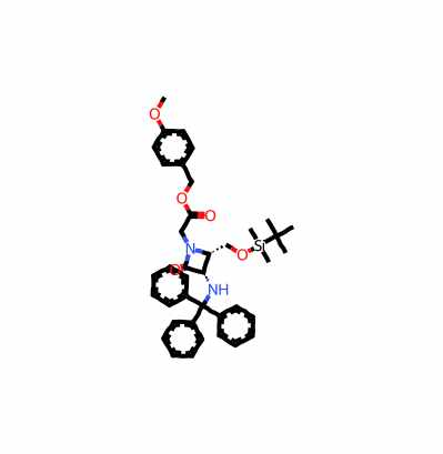 COc1ccc(COC(=O)CN2C(=O)[C@@H](NC(c3ccccc3)(c3ccccc3)c3ccccc3)[C@H]2CO[Si](C)(C)C(C)(C)C)cc1